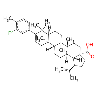 C=C(C)[C@@H]1CC[C@]2(C(=O)O)CC[C@]3(C)[C@H](CC[C@@H]4[C@@]5(C)CC=C(c6ccc(C)c(F)c6)C(C)(C)[C@@H]5CC[C@]43C)[C@@H]12